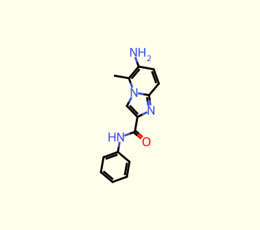 Cc1c(N)ccc2nc(C(=O)Nc3ccccc3)cn12